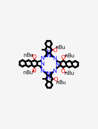 CCCCOc1c2c(c(OCCCC)c3cc4ccccc4cc13)-c1nc-2nc2[nH]c(nc3nc(nc4[nH]c(n1)c1c(C)c5ccccc5c(OCCCC)c41)-c1c-3c(OCCCC)c3cc4ccccc4cc3c1OCCCC)c1c(OCCCC)c3ccccc3c(C)c21